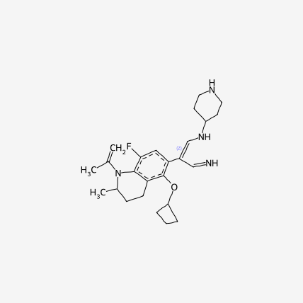 C=C(C)N1c2c(F)cc(/C(C=N)=C/NC3CCNCC3)c(OC3CCC3)c2CCC1C